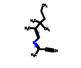 C#C/C(C)=N\C=C(/C)C(C)(C)CCC